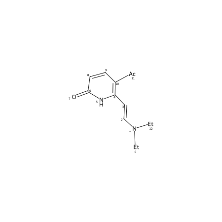 CCN(C=Cc1[nH]c(=O)ccc1C(C)=O)CC